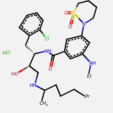 CCNc1cc(C(=O)N[C@@H](Cc2ccccc2Cl)[C@H](O)CNC(C)CCCC(C)C)cc(N2CCCCS2(=O)=O)c1.Cl